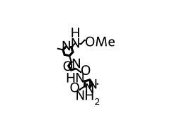 COCCNc1cc(-c2nc(C(=O)Nc3cn(C)nc3C(N)=O)co2)cc(C)n1